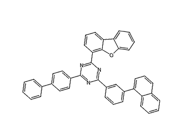 c1ccc(-c2ccc(-c3nc(-c4cccc(-c5cccc6ccccc56)c4)nc(-c4cccc5c4oc4ccccc45)n3)cc2)cc1